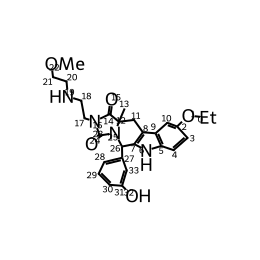 CCOc1ccc2[nH]c3c(c2c1)CC1(C)C(=O)N(CCNCCOC)C(=O)N1C3c1cccc(O)c1